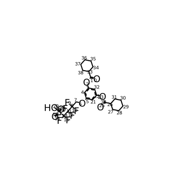 O=C(Oc1cc(OCC(F)(F)C(F)(F)C(F)(F)S(=O)(=O)O)cc(OC(=O)C2CCCCC2)c1)C1CCCCC1